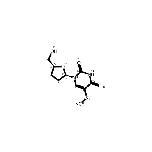 N#CSc1cn([C@H]2CC[C@@H](CO)O2)c(=O)[nH]c1=O